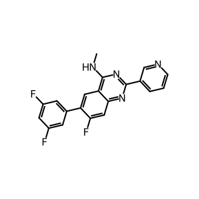 CNc1nc(-c2cccnc2)nc2cc(F)c(-c3cc(F)cc(F)c3)cc12